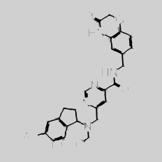 CC(=O)c1ccc2c(c1)CCC2N(CC(=O)O)Cc1cc(C(=O)NCc2ccc3c(c2)NC(=O)CO3)ncn1